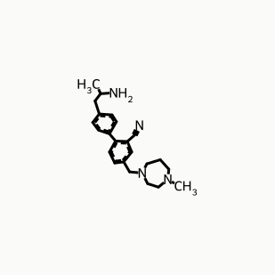 CC(N)Cc1ccc(-c2ccc(CN3CCCN(C)CC3)cc2C#N)cc1